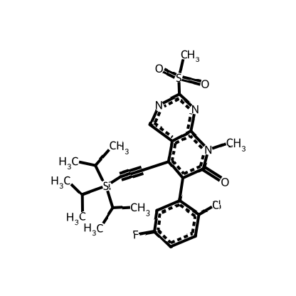 CC(C)[Si](C#Cc1c(-c2cc(F)ccc2Cl)c(=O)n(C)c2nc(S(C)(=O)=O)ncc12)(C(C)C)C(C)C